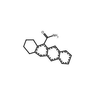 NC(=O)c1c2c(cc3cc4ccccc4cc13)CCCC2